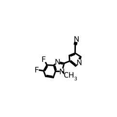 Cn1c(-c2cncc(C#N)c2)nc2c(F)c(F)ccc21